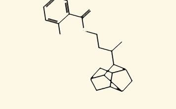 CC(CCNC(=O)c1ccccc1F)C1C2CC3C4CC(CC42)C31